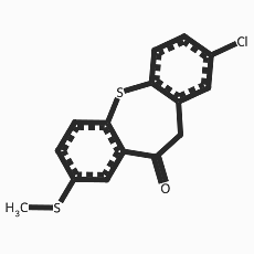 CSc1ccc2c(c1)C(=O)Cc1cc(Cl)ccc1S2